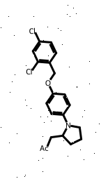 CC(=O)CC1CCCN1c1ccc(OCc2ccc(Cl)cc2Cl)cc1